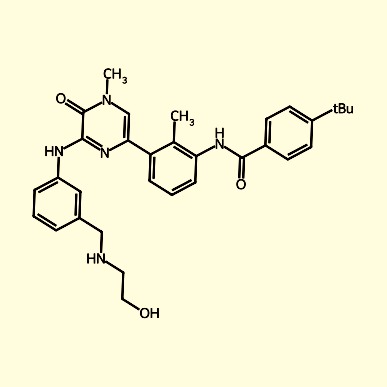 Cc1c(NC(=O)c2ccc(C(C)(C)C)cc2)cccc1-c1cn(C)c(=O)c(Nc2cccc(CNCCO)c2)n1